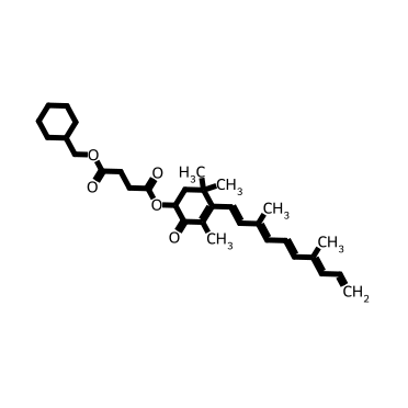 C=C/C=C(C)/C=C/C=C(C)/C=C/C1=C(C)C(=O)C(OC(=O)CCC(=O)OCC2CCCCC2)CC1(C)C